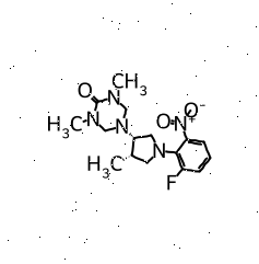 C[C@H]1CN(c2c(F)cccc2[N+](=O)[O-])C[C@H]1N1CN(C)C(=O)N(C)C1